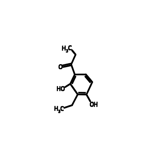 CCC(=O)c1ccc(O)c(CC)c1O